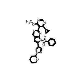 COc1ncnc(C2CC2)c1-c1ncc2cc(-c3cnn(C4CCCCO4)n3)n(S(=O)(=O)c3ccccc3)c2n1